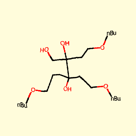 CCCCOCCC(O)(CO)C(O)(CCOCCCC)CCOCCCC